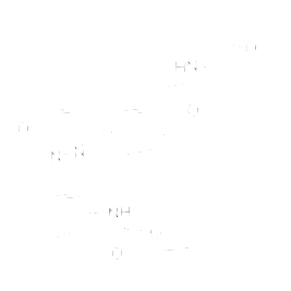 CCOC(=O)Nc1cccc(Cn2nc(-c3cccc(CC(=O)NCCOC)c3)ccc2=O)c1